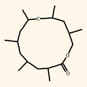 CC1COC(=O)C(C)CC(C)CC(C)CC(C)CC(C)C1